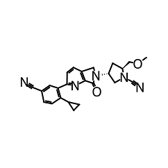 COC[C@@H]1C[C@@H](N2Cc3ccc(-c4cc(C#N)ccc4C4CC4)nc3C2=O)CN1C#N